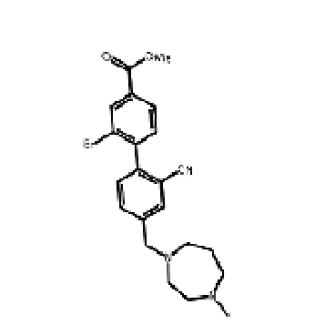 COC(=O)c1ccc(-c2ccc(CN3CCCN(C)CC3)cc2C#N)c(Br)c1